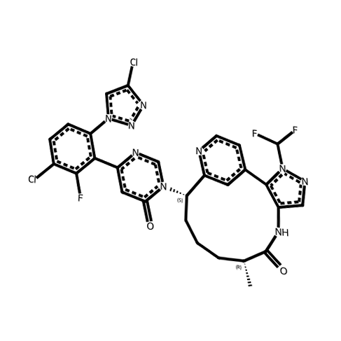 C[C@@H]1CCC[C@H](n2cnc(-c3c(-n4cc(Cl)nn4)ccc(Cl)c3F)cc2=O)c2cc(ccn2)-c2c(cnn2C(F)F)NC1=O